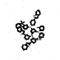 Cc1ccccc1N1c2cc(N(c3ccc(-c4cc5ccccc5o4)cc3)c3ccc4c(c3)C(C)(C)c3ccccc3-4)cc(c2)N(c2cccc(-c3cc4ccccc4o3)c2)c2cc(-c3cc4ccccc4o3)ccc2Bc2ccccc21